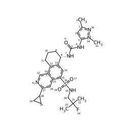 Cc1cc(NC(=O)N[C@H]2CCCc3c2cc(S(=O)(=O)NCC(C)(C)F)c2cc(C4CC4)ncc32)n(C)n1